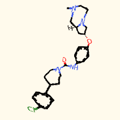 CN1CCN2C[C@H](Oc3ccc(NC(=O)N4CCC(c5ccc(Cl)cc5)CC4)cc3)C[C@H]2C1